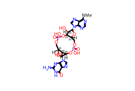 CNc1ncnc2c1ncn2[C@@H]1O[C@@H]2COP(=O)(O)O[C@@H]3[C@H](O)[C@@H](COP(=O)(O)O[C@H]2[C@H]1O)O[C@H]3n1cnc2c(=O)[nH]c(N)nc21